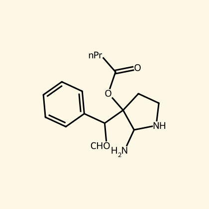 CCCC(=O)OC1(C(C=O)c2ccccc2)CCNC1N